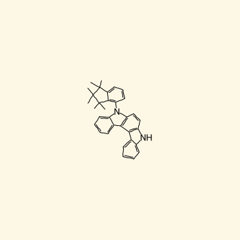 CC1(C)c2cccc(-n3c4ccccc4c4c5c(ccc43)[nH]c3ccccc35)c2C(C)(C)C1(C)C